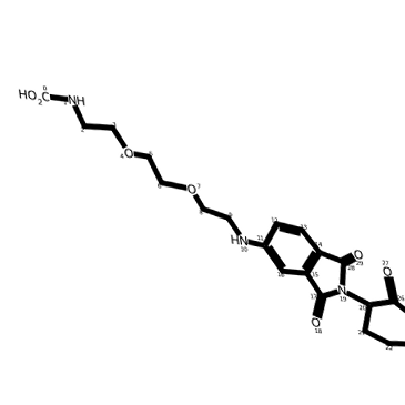 O=C(O)NCCOCCOCCNc1ccc2c(c1)C(=O)N(C1CCC(=O)NC1=O)C2=O